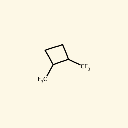 FC(F)(F)C1CCC1C(F)(F)F